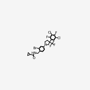 O=C(NCc1ccc(N2CCC(c3cc(Cl)c(F)c(Cl)c3F)(C(F)(F)F)C2)cc1Br)C1CC1